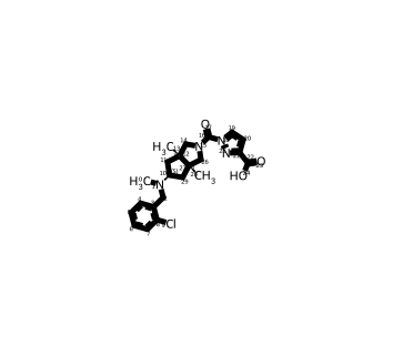 CN(Cc1ccccc1Cl)[C@@H]1C[C@@]2(C)CN(C(=O)n3ccc(C(=O)O)n3)C[C@@]2(C)C1